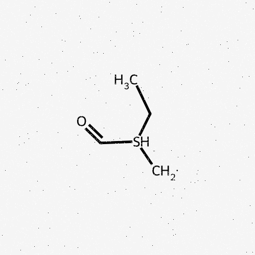 [CH2][SH](C=O)CC